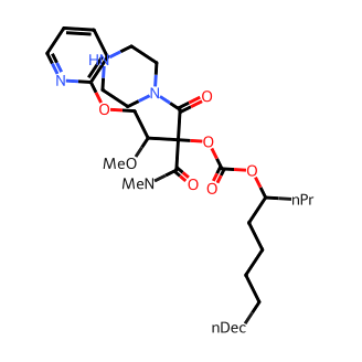 CCCCCCCCCCCCCCC(CCC)OC(=O)OC(C(=O)NC)(C(=O)N1CCNCC1)C(COc1ccccn1)OC